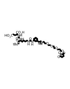 CC(C)(C)OC(=O)C(CCCCNC(=O)Nc1cccc(-c2cn(CCOCCOCCOCCC(=O)ON3C(=O)CCC3=O)nn2)c1)NC(=O)NC(CCC(=O)O)C(=O)O